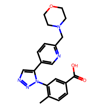 Cc1ccc(C(=O)O)cc1-n1nncc1-c1ccc(CN2CCOCC2)nc1